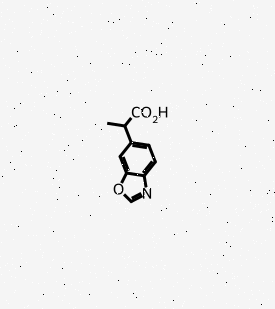 CC(C(=O)O)c1ccc2ncoc2c1